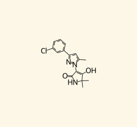 Cc1cc(-c2cccc(Cl)c2)nn1C1=C(O)C(C)(C)NC1=O